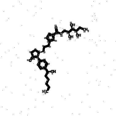 CCCCC[C@H](O)c1ccc(N2C(=O)CC[C@@H]2CCCc2ccc(C(=O)OC[C@@H](O)[C@@H](O)[C@@H](O)CC)s2)cc1